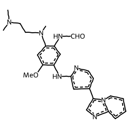 COc1cc(N(C)CCN(C)C)c(NC=O)cc1Nc1cc(-c2cnc3ccccn23)ccn1